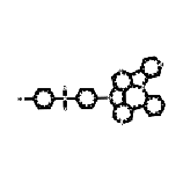 N#Cc1ccc(S(=O)(=O)c2ccc(-n3c4cncc5c6ccccc6n6c7cnccc7c7ncc3c(c54)c76)cc2)cc1